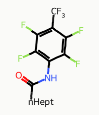 CCCCCCCC(=O)Nc1c(F)c(F)c(C(F)(F)F)c(F)c1F